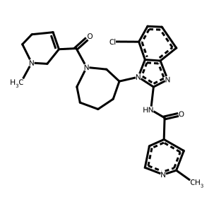 Cc1cc(C(=O)Nc2nc3cccc(Cl)c3n2C2CCCCN(C(=O)C3=CCCN(C)C3)C2)ccn1